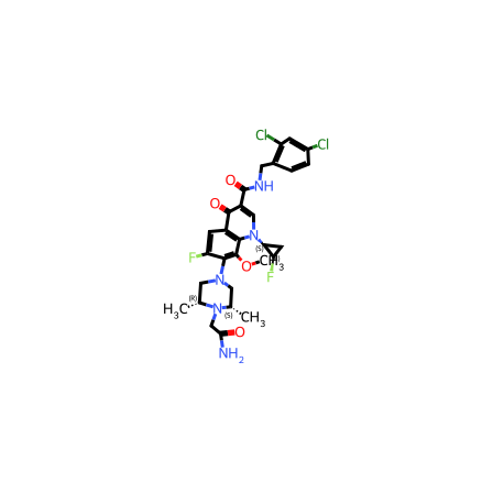 COc1c(N2C[C@@H](C)N(CC(N)=O)[C@@H](C)C2)c(F)cc2c(=O)c(C(=O)NCc3ccc(Cl)cc3Cl)cn([C@H]3C[C@H]3F)c12